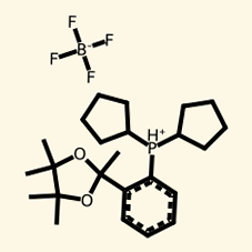 CC1(c2ccccc2[PH+](C2CCCC2)C2CCCC2)OC(C)(C)C(C)(C)O1.F[B-](F)(F)F